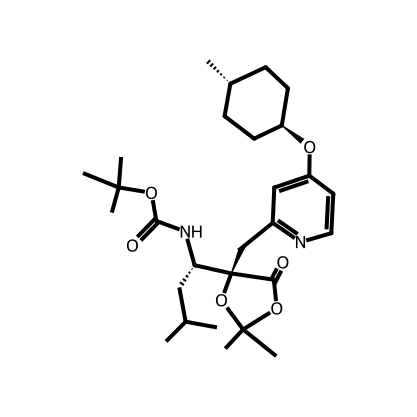 CC(C)C[C@H](NC(=O)OC(C)(C)C)[C@@]1(Cc2cc(O[C@H]3CC[C@H](C)CC3)ccn2)OC(C)(C)OC1=O